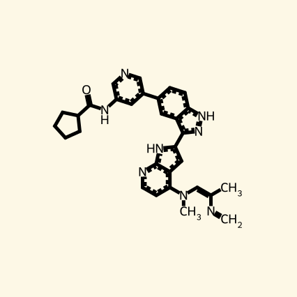 C=N/C(C)=C\N(C)c1ccnc2[nH]c(-c3n[nH]c4ccc(-c5cncc(NC(=O)C6CCCC6)c5)cc34)cc12